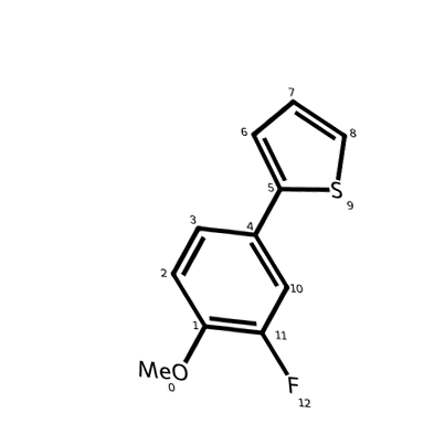 COc1ccc(-c2cccs2)cc1F